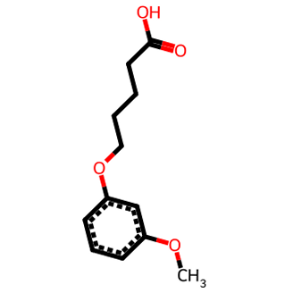 COc1cccc(OCCCCC(=O)O)c1